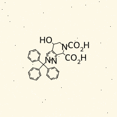 O=C(O)C1c2nn(C(c3ccccc3)(c3ccccc3)c3ccccc3)cc2C(O)CN1C(=O)O